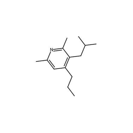 CCCc1cc(C)nc(C)c1CC(C)C